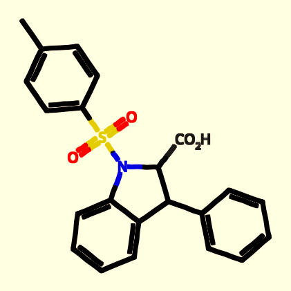 Cc1ccc(S(=O)(=O)N2c3ccccc3C(c3ccccc3)C2C(=O)O)cc1